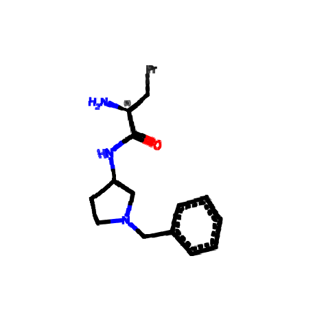 CC(C)C[C@H](N)C(=O)NC1CCN(Cc2ccccc2)C1